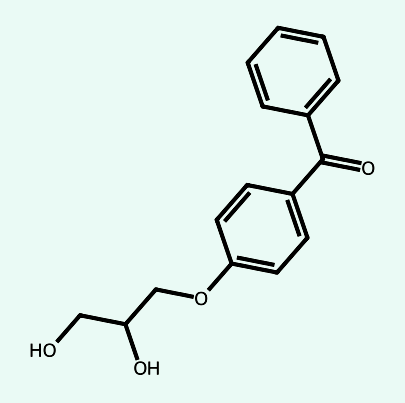 O=C(c1ccccc1)c1ccc(OCC(O)CO)cc1